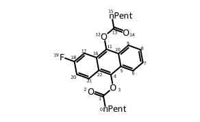 CCCCCC(=O)Oc1c2ccccc2c(OC(=O)CCCCC)c2cc(F)ccc12